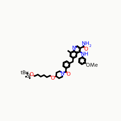 COc1cccc(Nc2c(C(N)=O)cnc3c(C)cc(Cc4cccc(C(=O)N5CCC(OCCCCCCO[Si](C)(C)C(C)(C)C)CC5)c4)cc23)c1